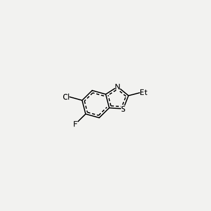 CCc1nc2cc(Cl)c(F)cc2s1